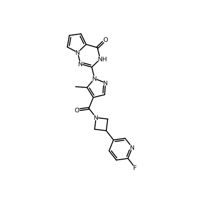 Cc1c(C(=O)N2CC(c3ccc(F)nc3)C2)cnn1-c1nn2cccc2c(=O)[nH]1